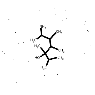 CC(N)C(C)C(C)C(C)(O)C(C)C